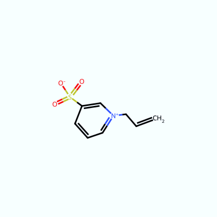 C=CC[n+]1cccc(S(=O)(=O)[O-])c1